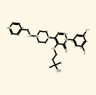 CC(C)(O)CCOc1c(N2CCN(SCc3ccncc3)CC2)cnn(-c2cc(F)cc(F)c2)c1=O